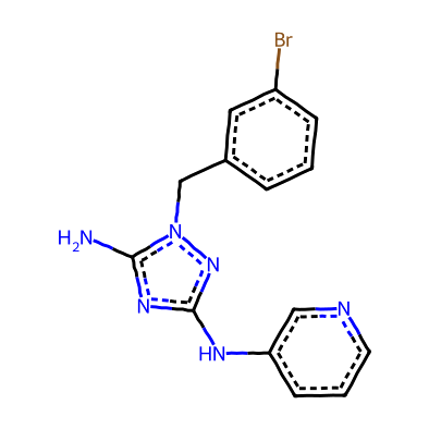 Nc1nc(Nc2cccnc2)nn1Cc1cccc(Br)c1